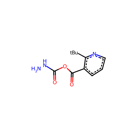 CC(C)(C)c1ncccc1C(=O)OC(=O)NN